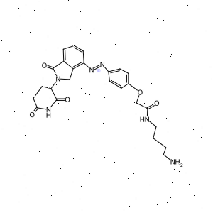 NCCCCNC(=O)COc1ccc(/N=N/c2cccc3c2CN(C2CCC(=O)NC2=O)C3=O)cc1